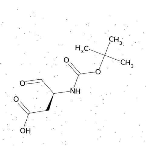 CC(C)(C)OC(=O)N[C@H](C=O)CC(=O)O